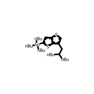 CCCCC(CCCC)Cc1csc2c[c]([Sn]([CH2]CCC)([CH2]CCC)[CH2]CCC)sc12